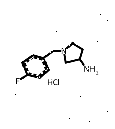 Cl.NC1CCN(Cc2ccc(F)cc2)C1